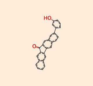 O=C1c2cc3ccccc3cc2-c2cc3ccc(-c4cccc(O)c4)cc3cc21